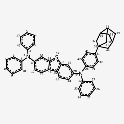 c1ccc(N(c2ccccc2)c2ccc3c(c2)sc2cc(N(c4ccccc4)c4ccc(C56CC7CC(C5)C(C7)C6)cc4)ccc23)cc1